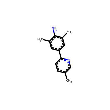 Cc1ccc(-c2cc(C)c(N)c(C)c2)nc1